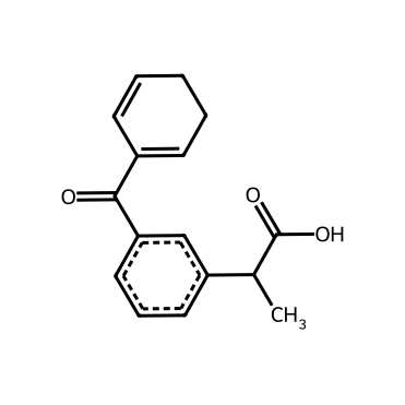 CC(C(=O)O)c1cccc(C(=O)C2=CCCC=C2)c1